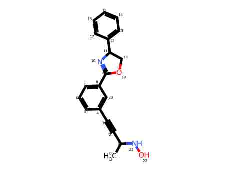 CC(C#Cc1cccc(C2=NC(c3ccccc3)CO2)c1)NO